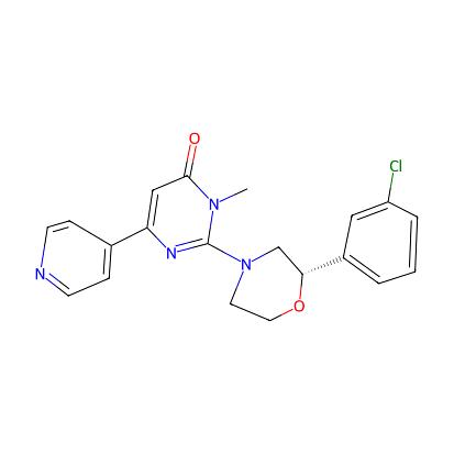 Cn1c(N2CCO[C@@H](c3cccc(Cl)c3)C2)nc(-c2ccncc2)cc1=O